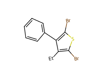 CCc1c(Br)sc(Br)c1-c1ccccc1